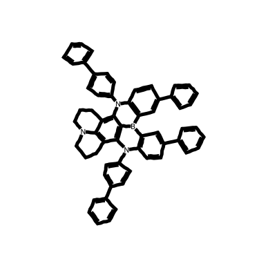 c1ccc(-c2ccc(N3c4ccc(-c5ccccc5)cc4B4c5cc(-c6ccccc6)ccc5N(c5ccc(-c6ccccc6)cc5)c5c6c7c(c3c54)CCCN7CCC6)cc2)cc1